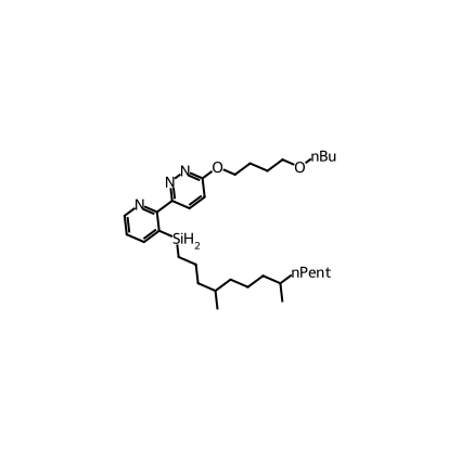 CCCCCC(C)CCCC(C)CCC[SiH2]c1cccnc1-c1ccc(OCCCCOCCCC)nn1